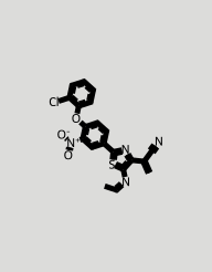 C=C(C#N)c1nc(-c2ccc(Oc3ccccc3Cl)c([N+](=O)[O-])c2)sc1/N=C\C